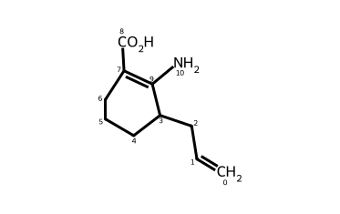 C=CCC1CCCC(C(=O)O)=C1N